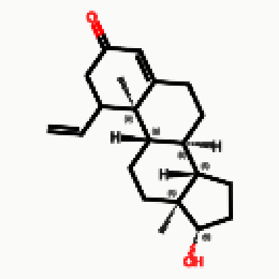 C=CC1CC(=O)C=C2CC[C@H]3[C@@H]4CC[C@H](O)[C@@]4(C)CC[C@@H]3[C@]21C